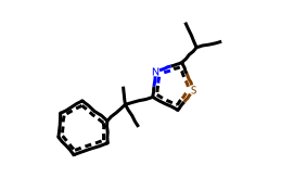 CC(C)c1nc(C(C)(C)c2ccccc2)cs1